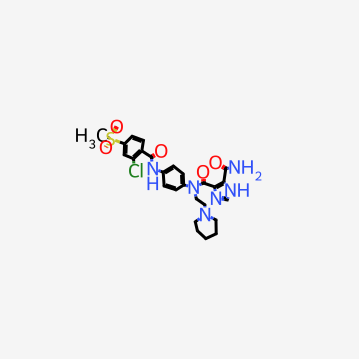 CS(=O)(=O)c1ccc(C(=O)Nc2ccc(N(CCN3CCCCC3)C(=O)c3nc[nH]c3C(N)=O)cc2)c(Cl)c1